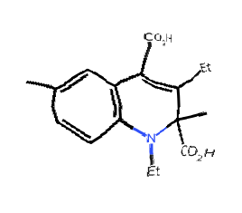 CCC1=C(C(=O)O)c2cc(C)ccc2N(CC)C1(C)C(=O)O